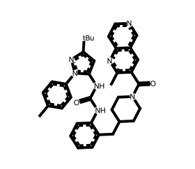 Cc1ccc(-n2nc(C(C)(C)C)cc2NC(=O)Nc2ccccc2CC2CCN(C(=O)c3cc4cnccc4nc3C)CC2)cc1